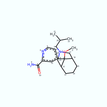 COC1(c2ccnc(C(N)=O)c2)C2CCCC1CN(CC(C)C)C2